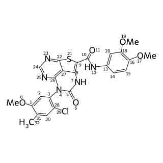 COc1cc(N2C(=O)Nc3c(C(=O)Nc4ccc(OC)c(OC)c4)sc4ncnc2c34)c(Cl)cc1C